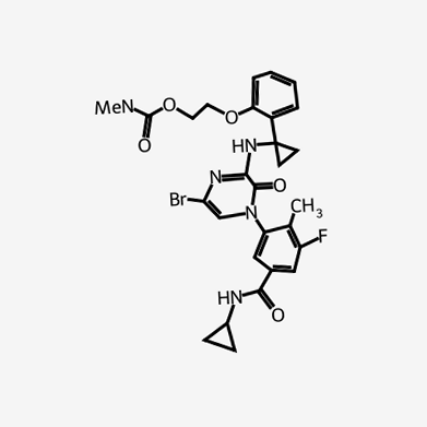 CNC(=O)OCCOc1ccccc1C1(Nc2nc(Br)cn(-c3cc(C(=O)NC4CC4)cc(F)c3C)c2=O)CC1